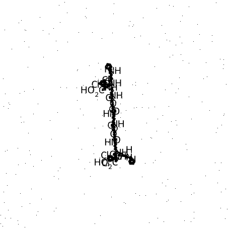 O=C(O)CC(NC(=O)[C@H](CCCCNC(=O)CCOCCOC(=O)NCCCCNC(=O)OCCOCCC(=O)NCCCC[C@H](NC(=O)CCCCNc1ccccn1)C(=O)NC(CC(=O)O)c1cc(Cl)cc(Cl)c1)NC(=O)CCCCNc1ccccn1)c1cc(Cl)cc(Cl)c1